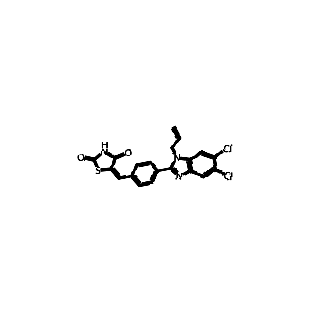 C=CCn1c(-c2ccc(C=C3SC(=O)NC3=O)cc2)nc2cc(Cl)c(Cl)cc21